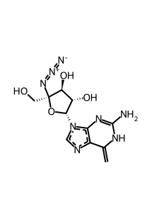 C=C1NC(N)=Nc2c1ncn2[C@@H]1O[C@@](CO)(N=[N+]=[N-])[C@@H](O)[C@@H]1O